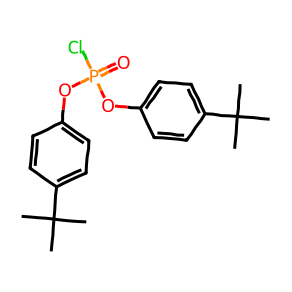 CC(C)(C)c1ccc(OP(=O)(Cl)Oc2ccc(C(C)(C)C)cc2)cc1